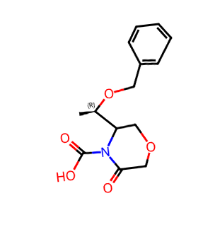 C[C@@H](OCc1ccccc1)C1COCC(=O)N1C(=O)O